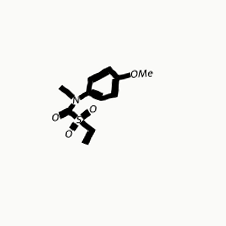 C=CS(=O)(=O)C(=O)N(C)c1ccc(OC)cc1